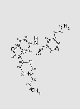 CCCc1cccc(C(=S)Nc2ccc3occ(C4CCN(CCC)CC4)c3c2)c1